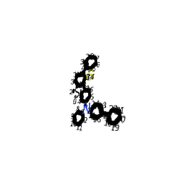 C[Si]1(C)c2cc(N(c3ccccc3)c3ccc(-c4ccccc4)cc3)ccc2-c2c1ccc1c2sc2ccccc21